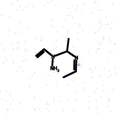 C=CN(N)C(C)/N=C\C